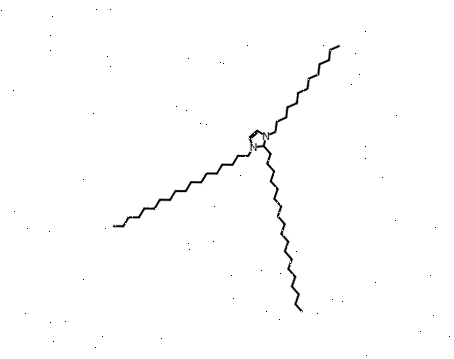 CCCCCCCCCCCCCCCCCCCC1N(CCCCCCCCCCCCC)C=CN1CCCCCCCCCCCCCCCCCC